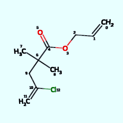 C=CCOC(=O)C(C)(C)CC(=C)Cl